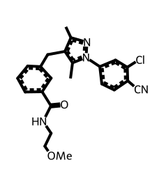 COCCNC(=O)c1cccc(Cc2c(C)nn(-c3ccc(C#N)c(Cl)c3)c2C)c1